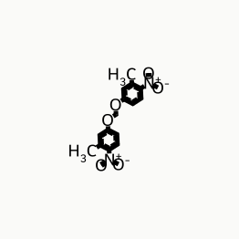 Cc1cc(OCOc2ccc([N+](=O)[O-])c(C)c2)ccc1[N+](=O)[O-]